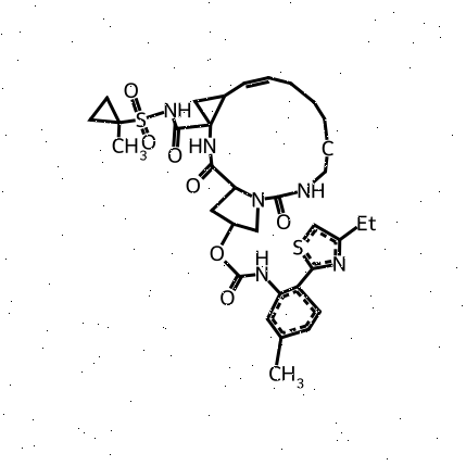 CCc1csc(-c2ccc(C)cc2NC(=O)OC2CC3C(=O)NC4(C(=O)NS(=O)(=O)C5(C)CC5)CC4C=CCCCCCNC(=O)N3C2)n1